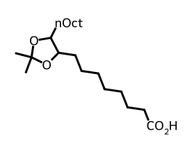 CCCCCCCCC1OC(C)(C)OC1CCCCCCCC(=O)O